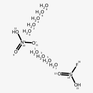 O.O.O.O.O.O.O.O.O.O=[N+]([O-])O.O=[Si](O)F